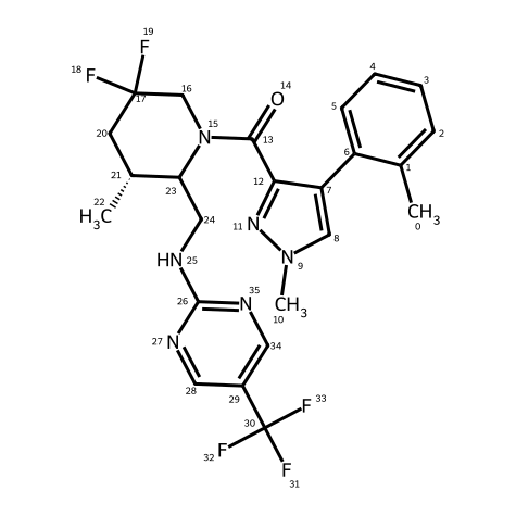 Cc1ccccc1-c1cn(C)nc1C(=O)N1CC(F)(F)C[C@@H](C)C1CNc1ncc(C(F)(F)F)cn1